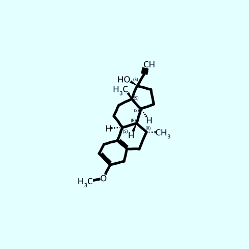 C#C[C@]1(O)CC[C@H]2[C@@H]3[C@H](C)CC4=C(CC=C(OC)C4)[C@H]3CC[C@@]21C